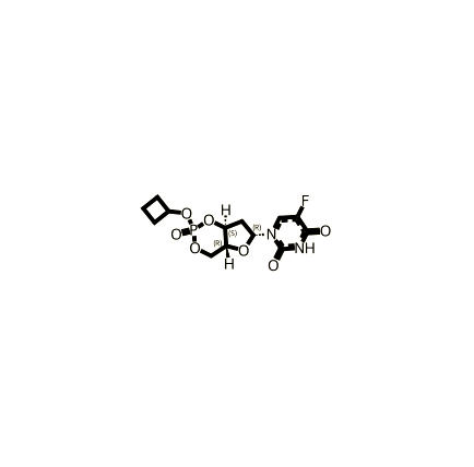 O=c1[nH]c(=O)n([C@H]2C[C@@H]3OP(=O)(OC4CCC4)OC[C@H]3O2)cc1F